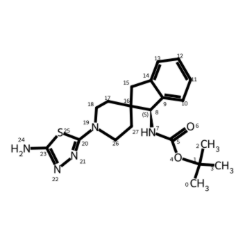 CC(C)(C)OC(=O)N[C@@H]1c2ccccc2CC12CCN(c1nnc(N)s1)CC2